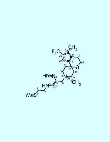 CSCCN/C=C(/CN1CCC2(C[C@@H]1C)OCCc1c2sc(C(F)(F)F)c1C)N=N